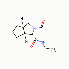 CCNC(=O)[C@@H]1[C@H]2CCC[C@H]2CN1C=O